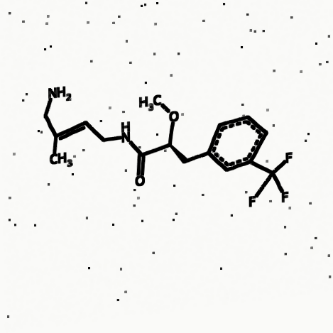 CO[C@@H](Cc1cccc(C(F)(F)F)c1)C(=O)NC/C=C(\C)CN